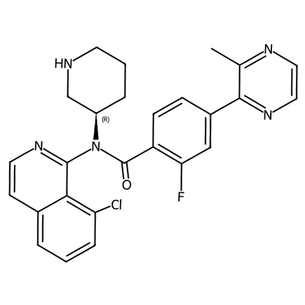 Cc1nccnc1-c1ccc(C(=O)N(c2nccc3cccc(Cl)c23)[C@@H]2CCCNC2)c(F)c1